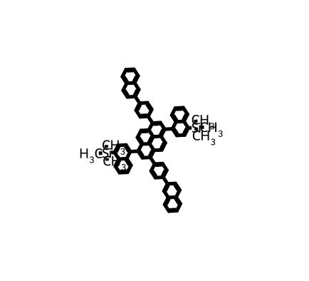 C[Si](C)(C)c1ccc(-c2cc(-c3ccc(-c4ccc5ccccc5c4)cc3)c3ccc4c(-c5ccc([Si](C)(C)C)c6ccccc56)cc(-c5ccc(-c6ccc7ccccc7c6)cc5)c5ccc2c3c54)c2ccccc12